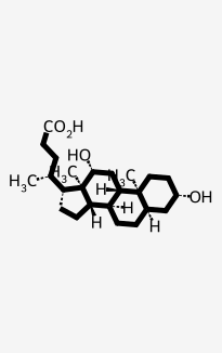 C[C@H](CCC(=O)O)[C@H]1CC[C@H]2[C@@H]3CC[C@@H]4C[C@@H](O)CC[C@]4(C)[C@H]3C[C@@H](O)[C@]12C